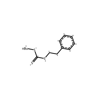 CCCCSC(=S)SCCc1ccccc1